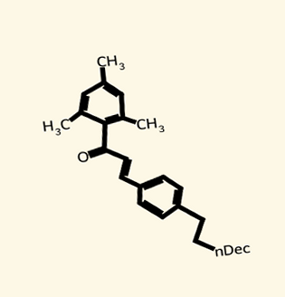 CCCCCCCCCCCCc1ccc(C=CC(=O)c2c(C)cc(C)cc2C)cc1